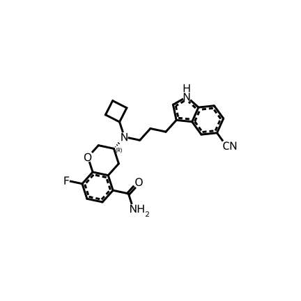 N#Cc1ccc2[nH]cc(CCCN(C3CCC3)[C@H]3COc4c(F)ccc(C(N)=O)c4C3)c2c1